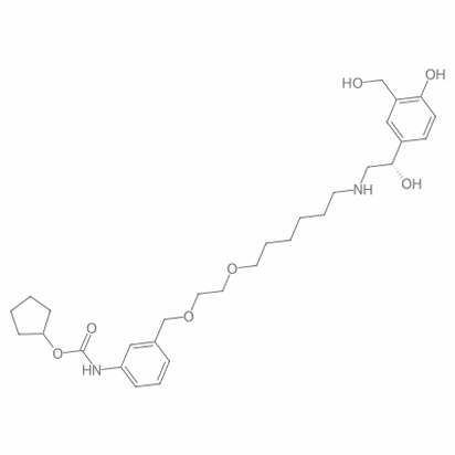 O=C(Nc1cccc(COCCOCCCCCCNC[C@@H](O)c2ccc(O)c(CO)c2)c1)OC1CCCC1